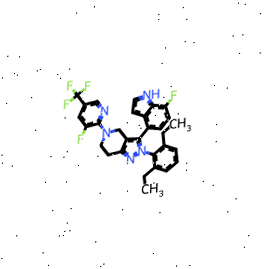 CCc1cccc(CC)c1-n1nc2c(c1-c1ccc(F)c3[nH]ccc13)CN(c1ncc(C(F)(F)F)cc1F)CC2